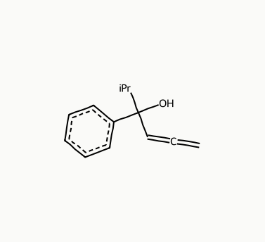 C=C=CC(O)(c1ccccc1)C(C)C